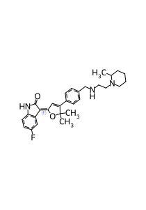 CC1CCCCN1CCNCc1ccc(C2=C/C(=C3\C(=O)Nc4ccc(F)cc43)OC2(C)C)cc1